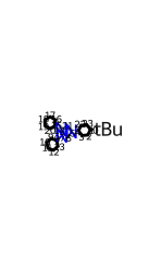 CC(C)(C)c1ccc(N2CN(c3ccccc3)N(c3ccccc3)C2)cc1